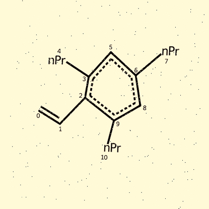 C=Cc1c(CCC)cc(CCC)cc1CCC